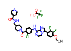 N#CCOc1ccc(-c2cnc3c(Nc4ccc(C(=O)N5CCC(CNC(=O)c6ccncc6)CC5)c(Cl)c4)nccn23)c(F)c1F.O=C(O)C(F)(F)F